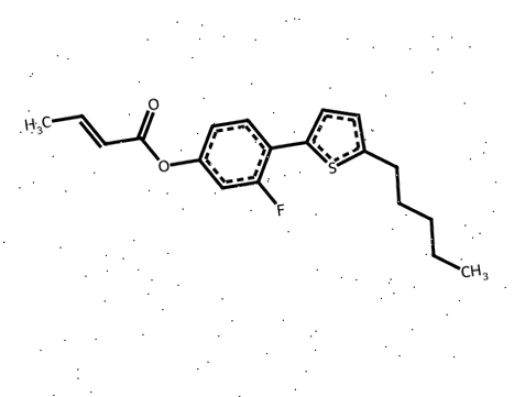 CC=CC(=O)Oc1ccc(-c2ccc(CCCCC)s2)c(F)c1